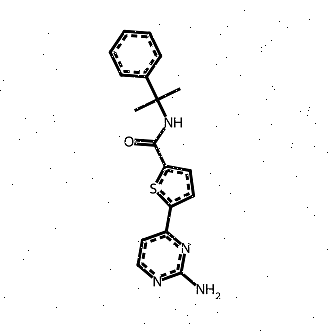 CC(C)(NC(=O)c1ccc(-c2ccnc(N)n2)s1)c1ccccc1